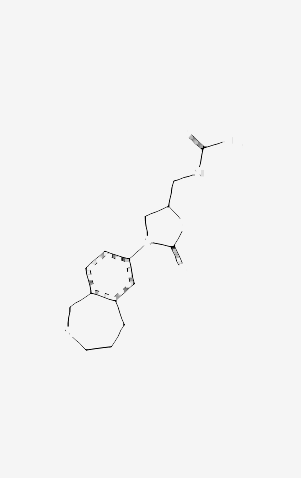 CC(=O)NCC1CN(c2ccc3c(c2)CCCNC3)C(=O)O1